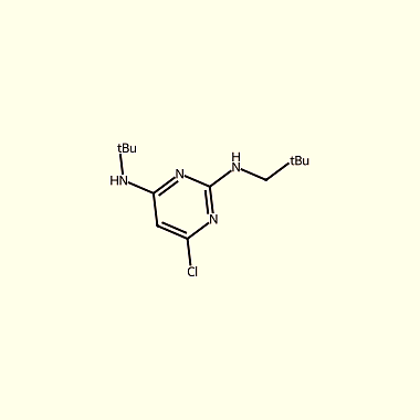 CC(C)(C)CNc1nc(Cl)cc(NC(C)(C)C)n1